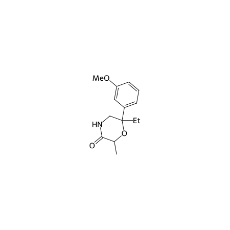 CCC1(c2cccc(OC)c2)CNC(=O)C(C)O1